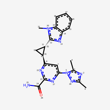 Cc1nc(C)n(-c2cc([C@H]3C[C@@H]3c3nc4ccccc4n3C)nc(C(N)=O)n2)n1